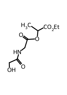 CCOC(=O)C(C)OC(=O)CNC(=O)CO